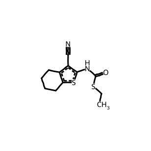 CCSC(=O)Nc1sc2c(c1C#N)CCCC2